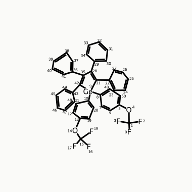 FC(F)(F)Oc1cc[c]([Ge]2([c]3ccc(OC(F)(F)F)cc3)[C](c3ccccc3)=C(c3ccccc3)C(c3ccccc3)=[C]2c2ccccc2)cc1